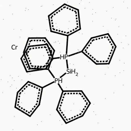 [Cr].c1ccc([PH]([SiH2][PH](c2ccccc2)(c2ccccc2)c2ccccc2)(c2ccccc2)c2ccccc2)cc1